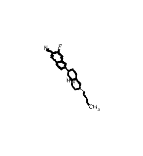 CCCCC[C@@H]1CC[C@@H]2CC(c3ccc4cc(C#N)c(F)cc4c3)CCC2C1